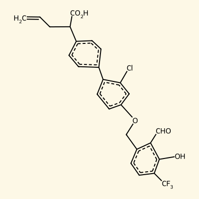 C=CCC(C(=O)O)c1ccc(-c2ccc(OCc3ccc(C(F)(F)F)c(O)c3C=O)cc2Cl)cc1